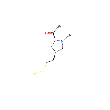 CC(C)C(=O)[C@@H]1C[C@H](CCSS)CN1C(C)C